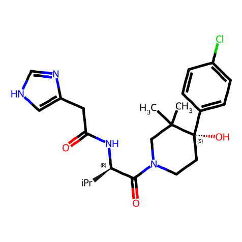 CC(C)[C@@H](NC(=O)Cc1c[nH]cn1)C(=O)N1CC[C@](O)(c2ccc(Cl)cc2)C(C)(C)C1